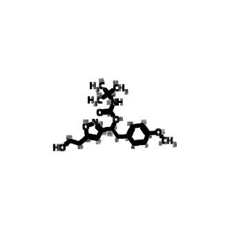 COc1ccc(C[C@H](OC(=O)NC(C)(C)C)c2cc(CCO)on2)cc1